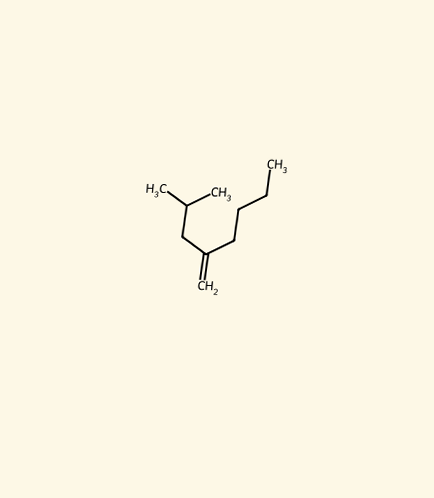 C=C(CCCC)CC(C)C